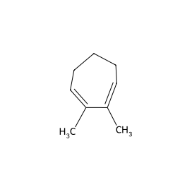 CC1=CCCCC=C1C